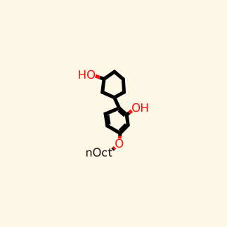 CCCCCCCCOc1ccc(C2CCCC(O)C2)c(O)c1